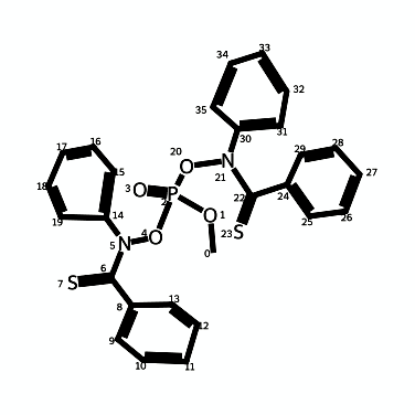 COP(=O)(ON(C(=S)c1ccccc1)c1ccccc1)ON(C(=S)c1ccccc1)c1ccccc1